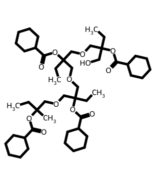 CCC(C)(COCC(CC)(COCC(CC)(COCC(CC)(CO)OC(=O)C1CCCCC1)OC(=O)C1CCCCC1)OC(=O)C1CCCCC1)OC(=O)C1CCCCC1